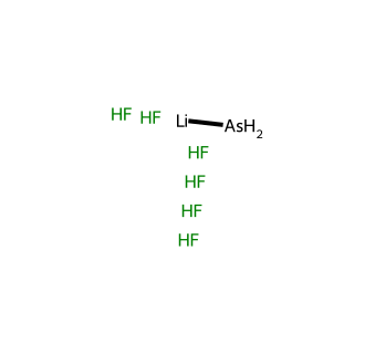 F.F.F.F.F.F.[Li][AsH2]